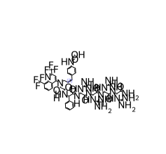 N=C(N)NC(NC(=O)C(NC(=N)N)NC(=O)C(NC(=N)N)NC(=O)C(NC(=N)N)NC(=O)C(NC(=O)C(O)N(C/C=C\c1ccc(NOO)cc1)c1cc(C(F)(F)F)nc2c(C(F)(F)F)cccc12)c1ccccc1)C(N)=O